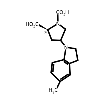 Cc1ccc2c(c1)CCN2C1C[C@@H](C(=O)O)N(C(=O)O)C1